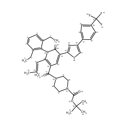 CCc1cccc(CC)c1-n1c(C=C(C)C)c(C(=O)N2CCN(C(=O)OC(C)(C)C)CC2)cc(-c2nc(-c3ccc(C(F)(F)F)cc3)cs2)c1=O